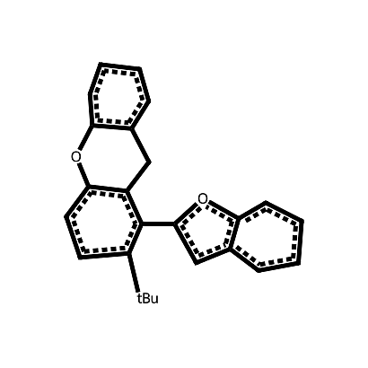 CC(C)(C)c1ccc2c(c1-c1cc3ccccc3o1)Cc1ccccc1O2